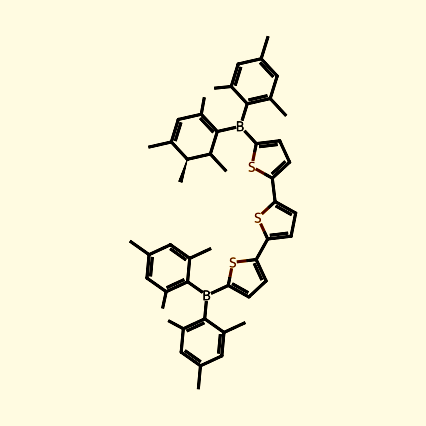 CC1=CC(C)=C(B(c2ccc(-c3ccc(-c4ccc(B(c5c(C)cc(C)cc5C)c5c(C)cc(C)cc5C)s4)s3)s2)c2c(C)cc(C)cc2C)C(C)[C@H]1C